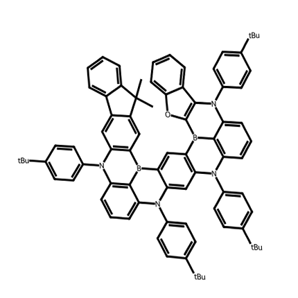 CC(C)(C)c1ccc(N2c3cc4c(cc3B3c5cc6c(cc5N(c5ccc(C(C)(C)C)cc5)c5cccc2c53)N(c2ccc(C(C)(C)C)cc2)c2cccc3c2B6c2oc5ccccc5c2N3c2ccc(C(C)(C)C)cc2)C(C)(C)c2ccccc2-4)cc1